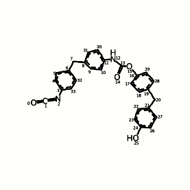 O=C=Nc1ccc(Cc2ccc(NC(=O)Oc3ccc(Cc4ccc(O)cc4)cc3)cc2)cc1